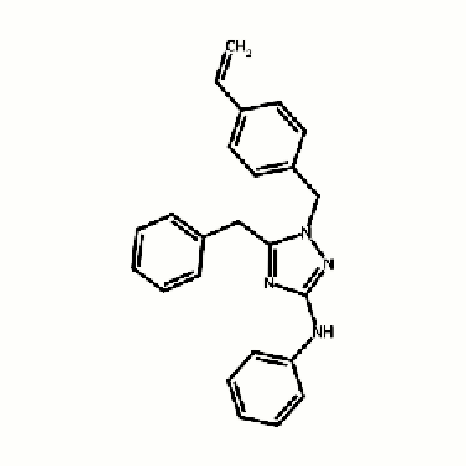 C=Cc1ccc(Cn2nc(Nc3ccccc3)nc2Cc2ccccc2)cc1